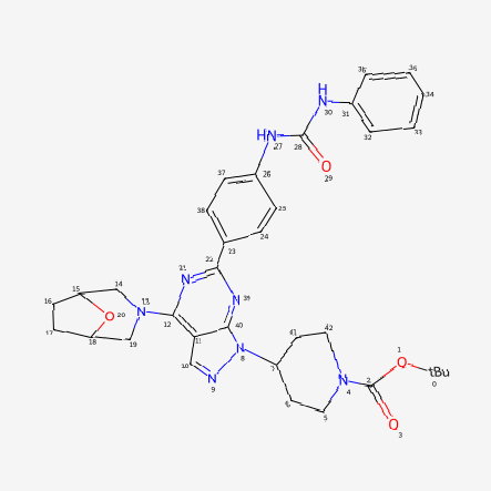 CC(C)(C)OC(=O)N1CCC(n2ncc3c(N4CC5CCC(C4)O5)nc(-c4ccc(NC(=O)Nc5ccccc5)cc4)nc32)CC1